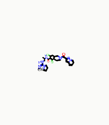 CC(CN/C(=N/C#N)N1CCCC1)NC(=O)c1c(Cl)cc2c(c1Cl)CCN(C(=O)c1cc3ccccn3n1)C2